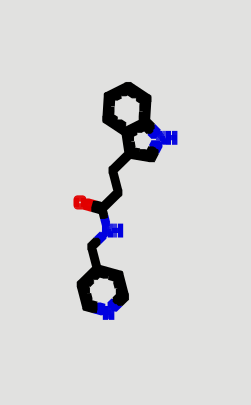 O=C(CCc1c[nH]c2ccccc12)NCc1ccncc1